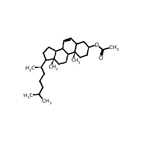 CC(=O)OC1CC[C@@]2(C)C(C=CC3C2CC[C@@]2(C)C3CCC2[C@H](C)CCCC(C)C)C1